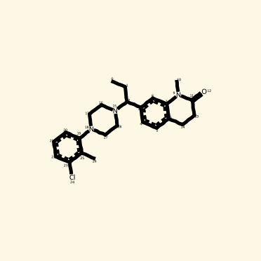 CCC(c1ccc2c(c1)N(C)C(=O)CC2)N1CCN(c2cccc(Cl)c2C)CC1